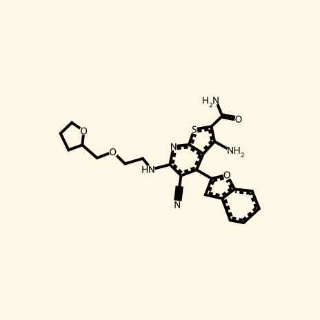 N#Cc1c(NCCOCC2CCCO2)nc2sc(C(N)=O)c(N)c2c1-c1cc2ccccc2o1